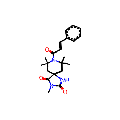 CN1C(=O)NC2(CC(C)(C)N(C(=O)/C=C/c3ccccc3)C(C)(C)C2)C1=O